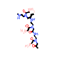 BCC(=O)N(CCNC(=O)CN(CCN/C(=C\C)CN(CCNC)C(=O)CB)C(=O)CB)CC(C)=O